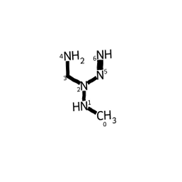 CNN(CN)N=N